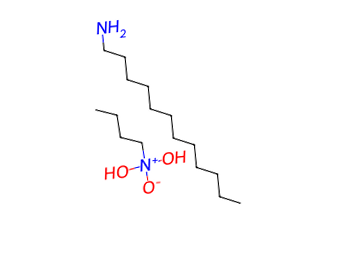 CCCCCCCCCCCCN.CCCC[N+]([O-])(O)O